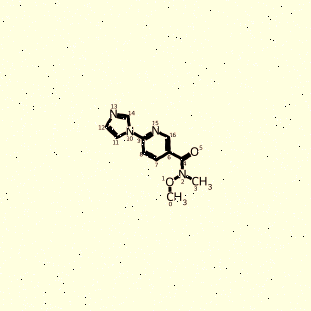 CON(C)C(=O)c1ccc(-n2ccnc2)nc1